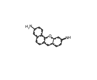 N=c1ccc2cc3ccc4cc(N)ccc4c3oc-2c1